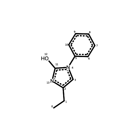 CCc1cn(-c2ccccc2)c(O)n1